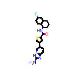 Nc1nc2ccc(-c3csc(C(=O)NC4CCCc5cc(F)ccc54)c3)cn2n1